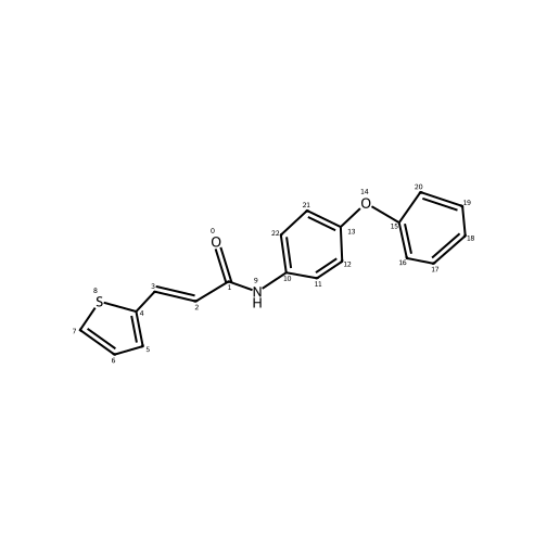 O=C(C=Cc1cccs1)Nc1ccc(Oc2ccccc2)cc1